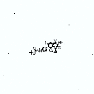 COc1c(N2CCC(C(C)NC(=O)OC(C)(C)C)C2)c(F)cc2c(=O)n(N)c(=O)n(C3CC3)c12